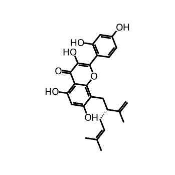 C=C(C)[C@H](CC=C(C)C)Cc1c(O)cc(O)c2c(=O)c(O)c(-c3ccc(O)cc3O)oc12